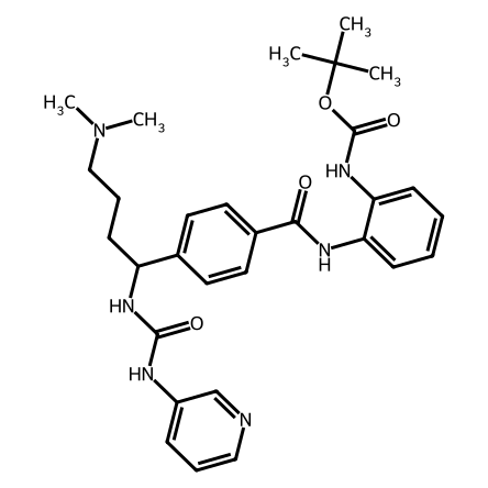 CN(C)CCCC(NC(=O)Nc1cccnc1)c1ccc(C(=O)Nc2ccccc2NC(=O)OC(C)(C)C)cc1